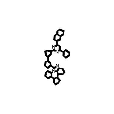 c1ccc(-c2cc(-c3ccc4ccccc4c3)nc(-c3cccc(-c4cccc(-c5nc6cccc7c6n5-c5ccccc5-c5ccccc5-7)c4)c3)n2)cc1